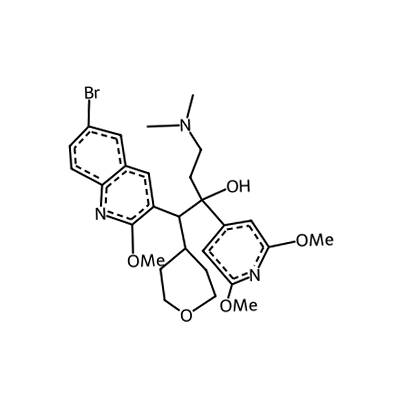 COc1cc(C(O)(CCN(C)C)C(c2cc3cc(Br)ccc3nc2OC)C2CCOCC2)cc(OC)n1